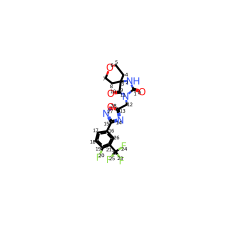 O=C1NC2(CCOCC2)C(=O)N1Cc1nc(-c2ccc(F)c(C(F)(F)F)c2)no1